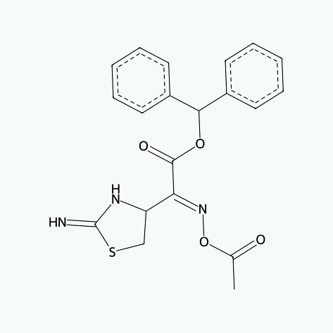 CC(=O)ON=C(C(=O)OC(c1ccccc1)c1ccccc1)C1CSC(=N)N1